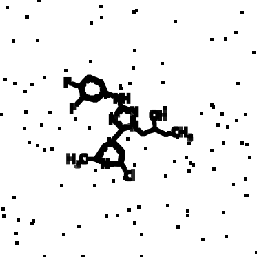 CCC(O)Cn1nc(Nc2ccc(F)c(F)c2)nc1-c1cc(C)nc(Cl)c1